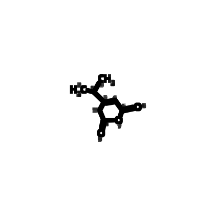 CC(C)C1=CC(=O)OC(=O)C1